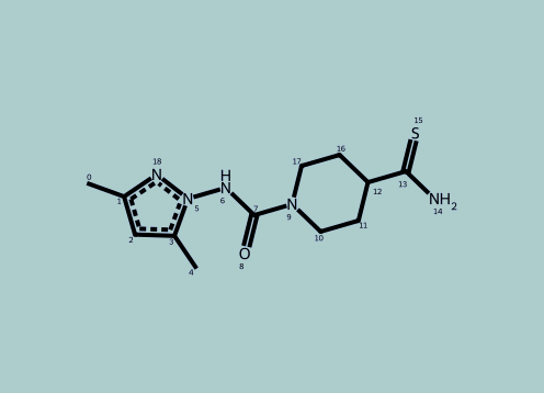 Cc1cc(C)n(NC(=O)N2CCC(C(N)=S)CC2)n1